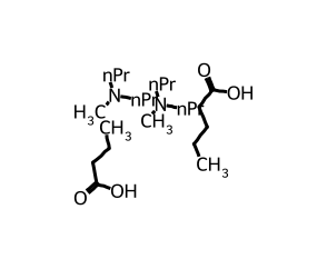 CCCC(=O)O.CCCCC(=O)O.CCCN(C)CCC.CCCN(C)CCC